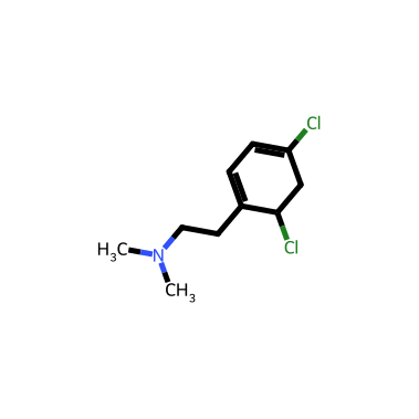 CN(C)CCC1=CC=C(Cl)CC1Cl